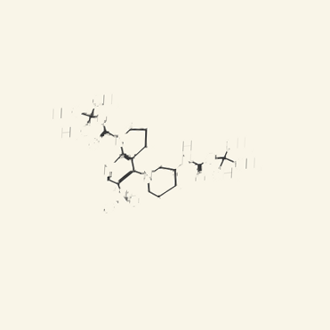 CC(C)(C)OC(=O)N[C@H]1CCCN(c2c([N+](=O)[O-])cnc3c2CCCN3C(=O)OC(C)(C)C)C1